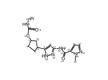 CCCNC(=O)OC1CCC(c2cc(NC(=O)c3ccnn3C)n[nH]2)C1